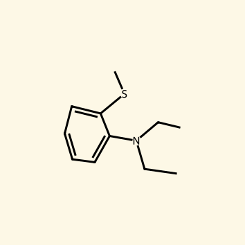 CCN(CC)c1ccccc1SC